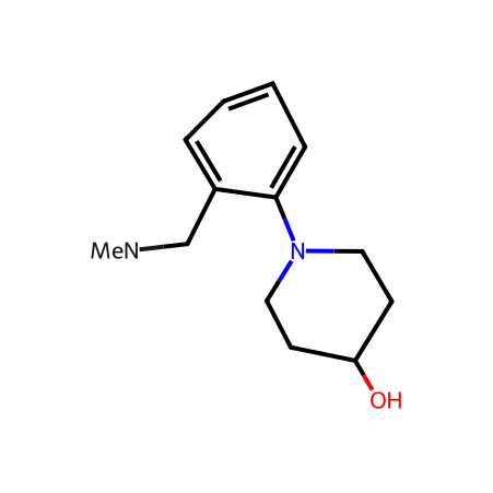 CNCc1ccccc1N1CCC(O)CC1